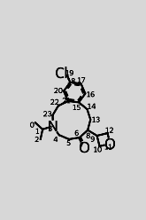 CC(C)N1CCC(=O)C(C2COC2)CCc2ccc(Cl)cc2CC1